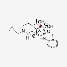 Cc1cccnc1NC(=O)C1=C(O)[C@H](C)[C@]23CCN(CC4CC4)[C@H](Cc4ccc(O)c(O)c42)[C@]3(O)C1